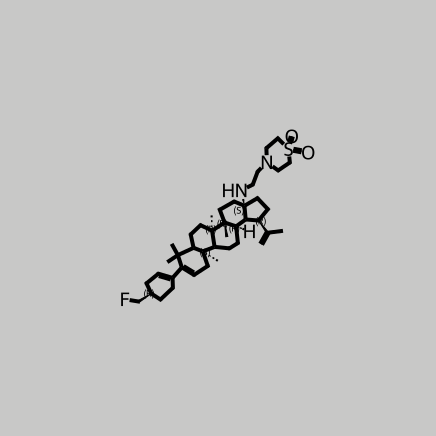 C=C(C)[C@@H]1CC[C@]2(NCCN3CCS(=O)(=O)CC3)CC[C@]3(C)[C@H](CCC4[C@@]5(C)CC=C(C6=CC[C@H](CF)CC6)C(C)(C)C5CC[C@]43C)C12